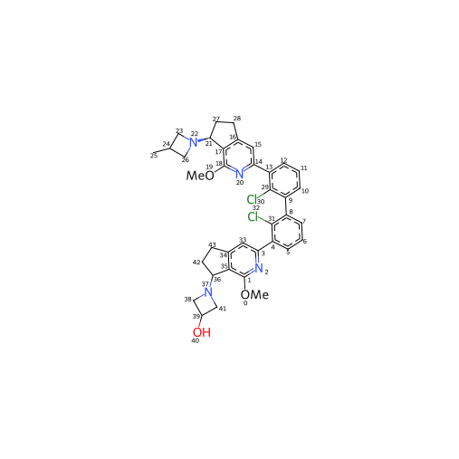 COc1nc(-c2cccc(-c3cccc(-c4cc5c(c(OC)n4)[C@@H](N4CC(C)C4)CC5)c3Cl)c2Cl)cc2c1C(N1CC(O)C1)CC2